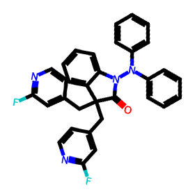 O=C1N(N(c2ccccc2)c2ccccc2)c2ccccc2C1(Cc1ccnc(F)c1)Cc1ccnc(F)c1